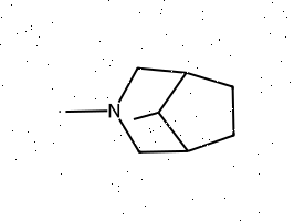 [CH2]N1CC2CCC(C1)C2C